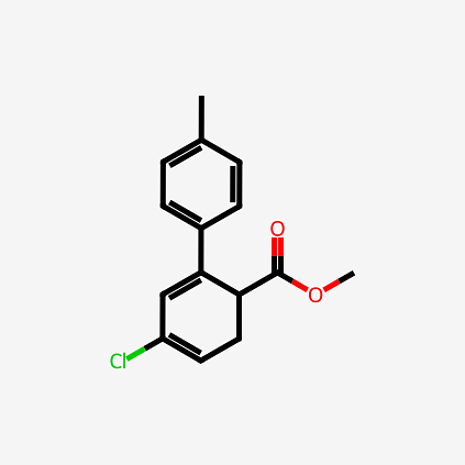 COC(=O)C1CC=C(Cl)C=C1c1ccc(C)cc1